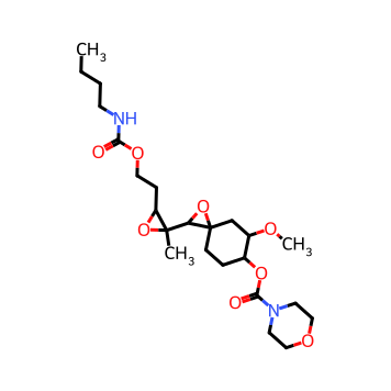 CCCCNC(=O)OCCC1OC1(C)C1OC12CCC(OC(=O)N1CCOCC1)C(OC)C2